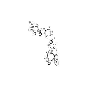 CCC(C)(COCc1cccc(Oc2ccc(F)cc2)c1)c1ccc(F)c(Cl)c1